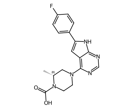 C[C@@H]1CN(c2ncnc3[nH]c(-c4ccc(F)cc4)cc23)CCN1C(=O)O